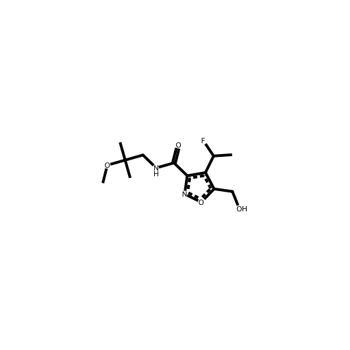 COC(C)(C)CNC(=O)c1noc(CO)c1C(C)F